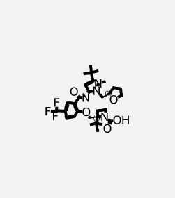 Cn1c(C(C)(C)C)cc(=NC(=O)c2cc(C(F)(F)F)ccc2OC[C@@]2(C(C)(C)C)CCN2C(=O)O)n1C[C@H]1CCCO1